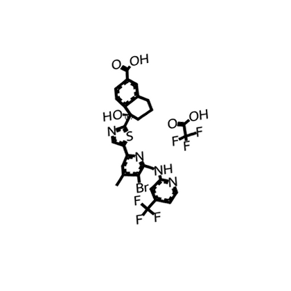 Cc1cc(-c2cnc([C@@]3(O)CCCc4cc(C(=O)O)ccc43)s2)nc(Nc2cc(C(F)(F)F)ccn2)c1Br.O=C(O)C(F)(F)F